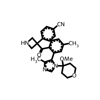 COC1(n2cnc(C)c2-c2cc(C)ccc2C(=O)C2(c3ccc(C#N)cc3)CNC2)CCOCC1